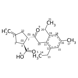 C=C1C[C@H](C(=O)O)[C@@H](C(=O)Cc2c(CC)cc(C)cc2CC)C1